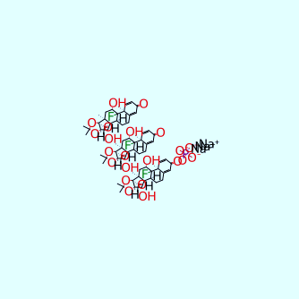 CC1(C)O[C@@H]2C[C@H]3[C@@H]4CCC5=CC(=O)C=C[C@]5(C)C4(F)[C@@H](O)C[C@]3(C)[C@]2(C(=O)CO)O1.CC1(C)O[C@@H]2C[C@H]3[C@@H]4CCC5=CC(=O)C=C[C@]5(C)C4(F)[C@@H](O)C[C@]3(C)[C@]2(C(=O)CO)O1.CC1(C)O[C@@H]2C[C@H]3[C@@H]4CCC5=CC(=O)C=C[C@]5(C)C4(F)[C@@H](O)C[C@]3(C)[C@]2(C(=O)CO)O1.O=P([O-])([O-])[O-].[Na+].[Na+].[Na+]